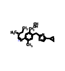 CCN(C)/C=N\c1cc(C)c(Cc2nc(C3CC3)cs2)cc1C.Cl.Cl